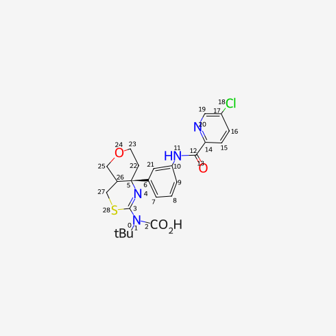 CC(C)(C)N(C(=O)O)C1=N[C@@]2(c3cccc(NC(=O)c4ccc(Cl)cn4)c3)CCOCC2CS1